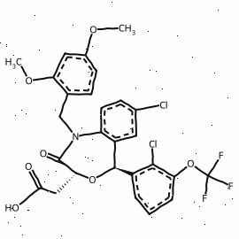 COc1ccc(CN2C(=O)[C@@H](CC(=O)O)O[C@H](c3cccc(OC(F)(F)F)c3Cl)c3cc(Cl)ccc32)c(OC)c1